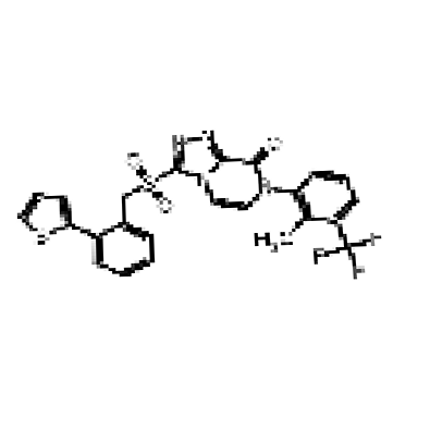 Cc1c(-n2ccn3c(S(=O)(=O)Cc4ccccc4-c4cccs4)nnc3c2=O)cccc1C(F)(F)F